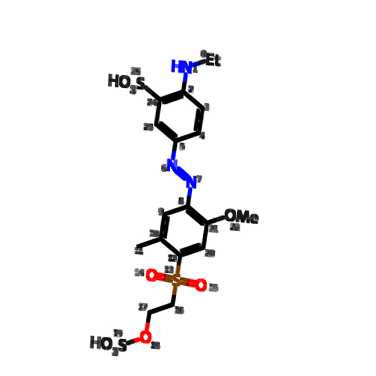 CCNc1ccc(/N=N/c2cc(C)c(S(=O)(=O)CCOS(=O)(=O)O)cc2OC)cc1S(=O)(=O)O